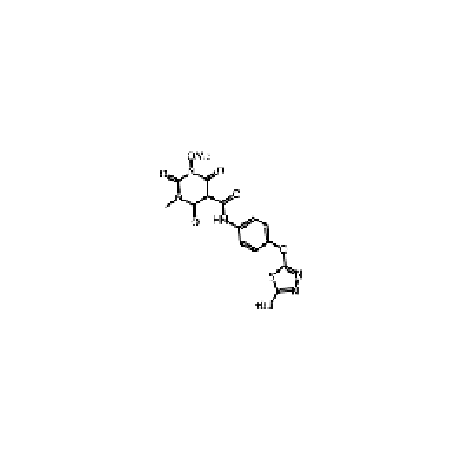 CON1C(=O)C(C(=O)Nc2ccc(Oc3nnc(C(C)(C)C)s3)cc2)C(=O)N(C)C1=O